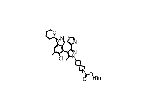 Cc1cc2c(cnn2C2CCCCO2)c(-c2c(-c3cscn3)nn(C3CC4(C3)CN(C(=O)OC(C)(C)C)C4)c2C)c1Cl